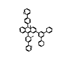 C[C@H]1C=C(c2ccccn2)C=CC1C1=C2C=C(c3cc(C4=CC=CCC4)cc(C4C=CC=CC4)c3)C=CC2(C)C(c2ccc(-c3ccccn3)cc2)c2ccccc21